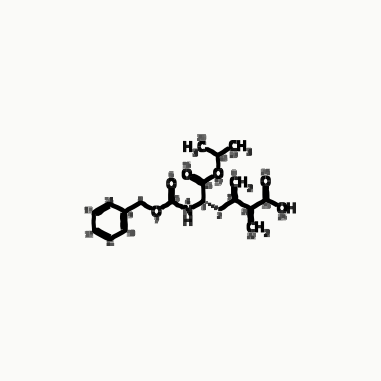 C=C(C[C@H](NC(=O)OCc1ccccc1)C(=O)OC(C)C)C(=C)C(=O)O